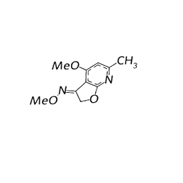 CON=C1COc2nc(C)cc(OC)c21